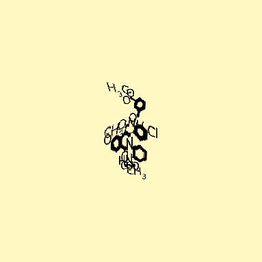 COC(=O)c1cccc(CONC(=O)[C@@H]2c3cc(OC)ccc3C(=O)N(C3CCCC[C@@H]3NS(C)(=O)=O)[C@H]2c2ccc(Cl)cc2)c1